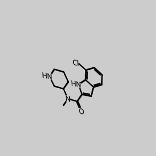 CN(C(=O)c1cc2cccc(Cl)c2[nH]1)C1CCCNC1